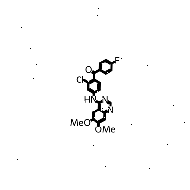 COc1cc2ncnc(Nc3ccc(C(=O)c4ccc(F)cc4)c(Cl)c3)c2cc1OC